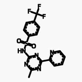 Cc1nc(NS(=O)(=O)c2ccc(C(F)(F)F)cc2)nc(-c2ccccn2)n1